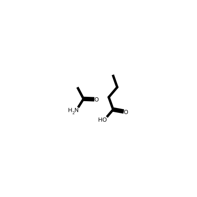 CC(N)=O.CCCC(=O)O